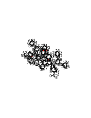 CC(C)(C)c1ccc(N(c2cc(-c3ccccc3)cc(-c3ccccc3)c2)c2ccc3c4c(c5ccccc5c3c2)-c2c(cc(N(c3ccc(C(C)(C)C)cc3)c3cc(-c5ccccc5)cc(-c5ccccc5)c3)c3c2OC2C=CC=CC32)C4(c2ccccc2)c2ccccc2)cc1